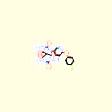 O=C1NC(=O)C2(C(=O)N1)C(=O)NC(=O)N2c1ccc(Oc2ccc(F)cc2)nc1